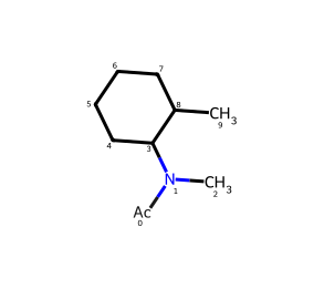 CC(=O)N(C)C1CCCCC1C